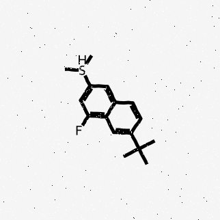 C[SH](C)c1cc(F)c2cc(C(C)(C)C)ccc2c1